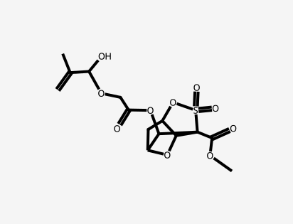 C=C(C)C(O)OCC(=O)OC1C2CC3OS(=O)(=O)C1(C(=O)OC)C3O2